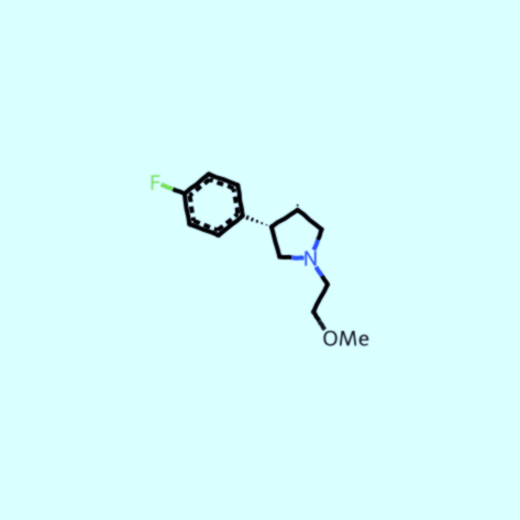 COCCN1C[CH][C@@H](c2ccc(F)cc2)C1